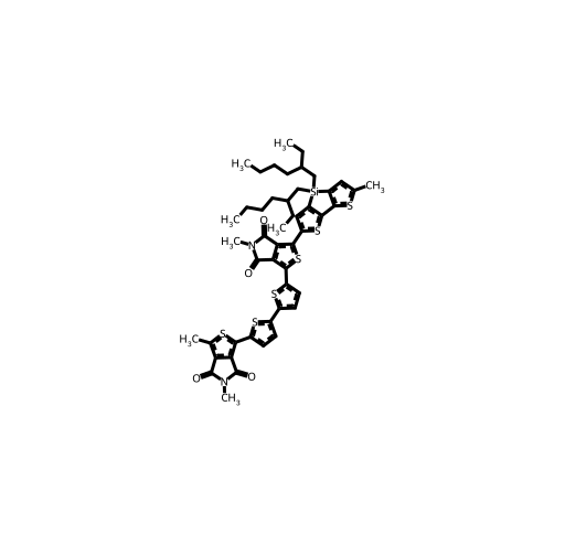 CCCCC(CC)C[Si]1(CC(CC)CCCC)c2cc(C)sc2-c2sc(-c3sc(-c4ccc(-c5ccc(-c6sc(C)c7c6C(=O)N(C)C7=O)s5)s4)c4c3C(=O)N(C)C4=O)cc21